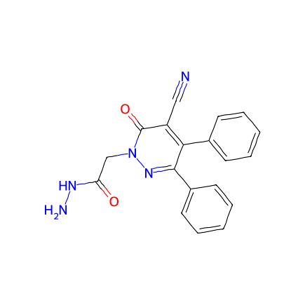 N#Cc1c(-c2ccccc2)c(-c2ccccc2)nn(CC(=O)NN)c1=O